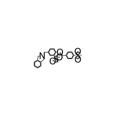 CS(=O)(=O)c1ccc(COc2ccc(CN3Cc4ccccc4C3)cc2S(C)(=O)=O)cc1